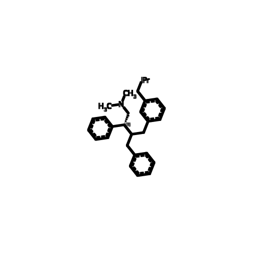 CC(C)Cc1cccc(CC(Cc2ccccc2)[C@@H](CN(C)C)c2ccccc2)c1